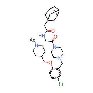 CC(=O)N1CCC(COc2ccc(Cl)cc2CN2CCN(C(=O)CNC(=O)CC34CC5CC(C3)C(C5)C4)CC2)CC1